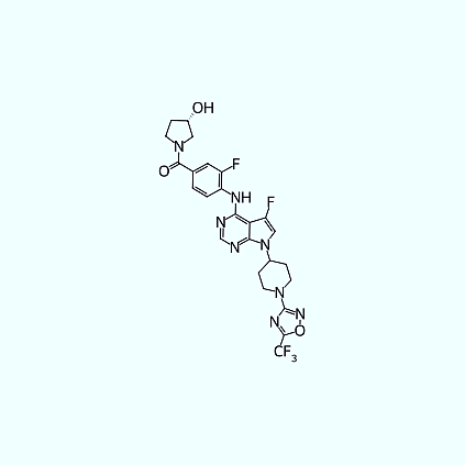 O=C(c1ccc(Nc2ncnc3c2c(F)cn3C2CCN(c3noc(C(F)(F)F)n3)CC2)c(F)c1)N1CC[C@H](O)C1